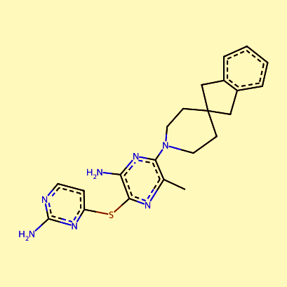 Cc1nc(Sc2ccnc(N)n2)c(N)nc1N1CCC2(CC1)Cc1ccccc1C2